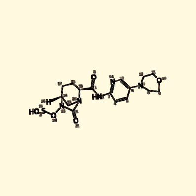 O=C(Nc1ccc(N2CCOCC2)cn1)[C@@H]1CC[C@@H]2CN1C(=O)N2OS(=O)(=O)O